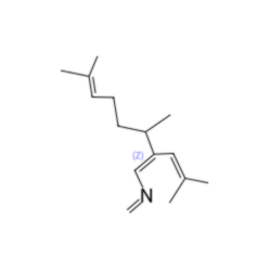 C=N/C=C(\C=C(C)C)C(C)CCC=C(C)C